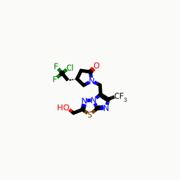 O=C1C[C@@H](CC(F)(F)Cl)CN1Cc1c(C(F)(F)F)nc2sc(CO)nn12